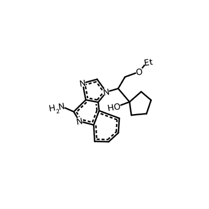 CCOCC(n1cnc2c(N)nc3ccccc3c21)C1(O)CCCC1